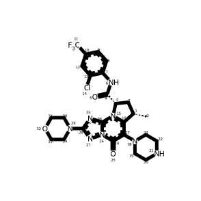 C[C@H]1C[C@@H](C(=O)Nc2ccc(C(F)(F)F)cc2Cl)n2c1c(N1CCNCC1)c(=O)n1nc(N3CCOCC3)nc21